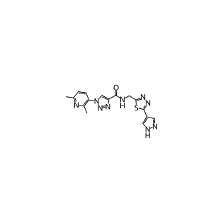 Cc1ccc(-n2cc(C(=O)NCc3nnc(-c4cn[nH]c4)s3)nn2)c(C)n1